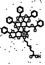 CC(=O)NC1C(OCCCSCCC(=O)O)OC2COC(c3ccccc3)OC2C1OC1OC(COC(=O)c2ccccc2)C(OC(=O)c2ccccc2)C(OC(=O)c2ccccc2)C1OC(=O)c1ccccc1